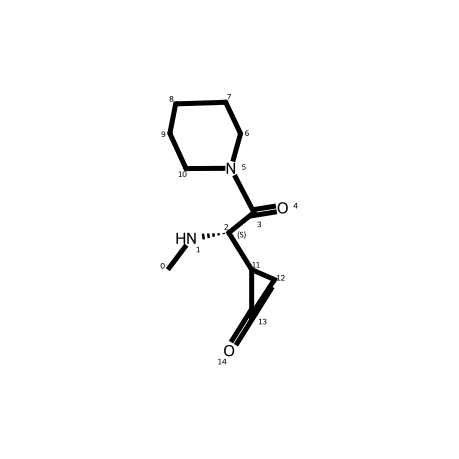 CN[C@H](C(=O)N1CCCCC1)C1CC1=O